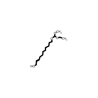 CCOC(OC)OCCCCCCCC/C=C/CO